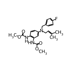 COC(=O)Nc1ccc(N(CC=C(C)C)Cc2ccc(F)cc2)cc1NC(=O)OC